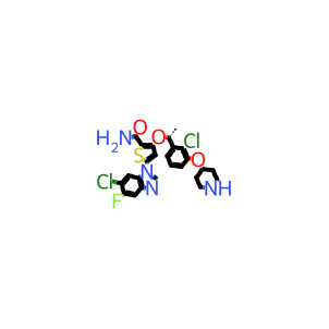 C[C@@H](Oc1cc(-n2cnc3cc(F)c(Cl)cc32)sc1C(N)=O)c1cccc(OC2CCNCC2)c1Cl